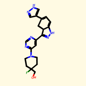 OCC1(F)CCN(c2cc(C3=NNC4=CC=C(c5cn[nH]c5)CC43)ncn2)CC1